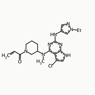 C=CC(=O)N1CCCC(N(C)c2nc(Nc3cnn(CC)c3)nc3[nH]cc(Cl)c23)C1